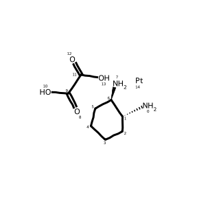 N[C@@H]1CCCC[C@H]1N.O=C(O)C(=O)O.[Pt]